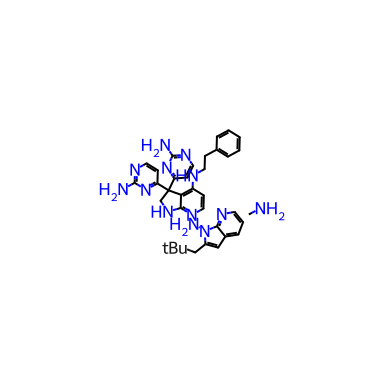 CC(C)(C)Cc1cc2cccnc2n1N.CN.Nc1nccc(C2(c3ccnc(N)n3)CNc3nccc(NCCc4ccccc4)c32)n1